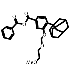 COCCOCOc1cc(C(=O)OC(=O)c2ccccc2)ccc1C12CC3CC(CC(C3)C1)C2